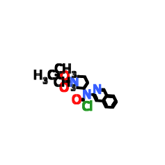 CC(C)(C)OC(=O)N1CCC[C@@H](N(C(=O)Cl)c2cc3ccccc3cn2)C1